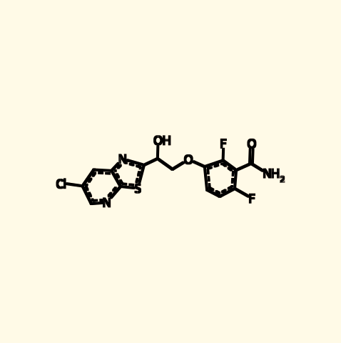 NC(=O)c1c(F)ccc(OCC(O)c2nc3cc(Cl)cnc3s2)c1F